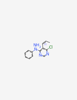 C/C=C\c1c(Cl)ncnc1N(N)c1ccccc1